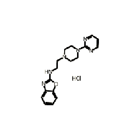 Cl.c1cnc(N2CCN(CCNc3nc4ccccc4o3)CC2)nc1